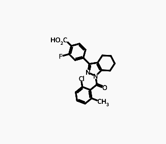 Cc1cccc(Cl)c1C(=O)n1nc(-c2ccc(C(=O)O)c(F)c2)c2c1CCCC2